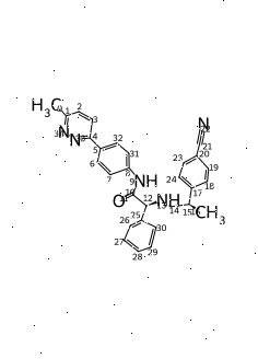 Cc1ccc(-c2ccc(NC(=O)[C@@H](NC[C@H](C)c3ccc(C#N)cc3)c3ccccc3)cc2)nn1